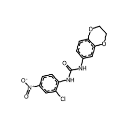 O=C(Nc1ccc2c(c1)OCCO2)Nc1ccc([N+](=O)[O-])cc1Cl